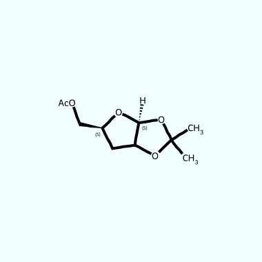 CC(=O)OC[C@@H]1CC2OC(C)(C)O[C@@H]2O1